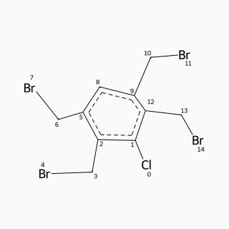 Clc1c(CBr)c(CBr)cc(CBr)c1CBr